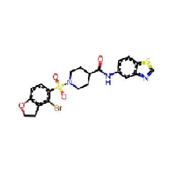 O=C(Nc1ccc2scnc2c1)C1CCN(S(=O)(=O)c2ccc3c(c2Br)CCO3)CC1